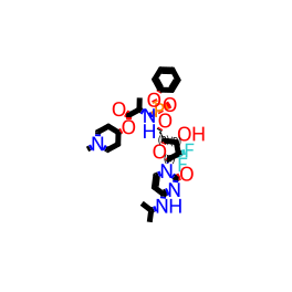 CC(C)Nc1ccn([C@@H]2O[C@H](COP(=O)(NC(C)C(=O)OC3CCN(C)CC3)Oc3ccccc3)[C@@H](O)C2(F)F)c(=O)n1